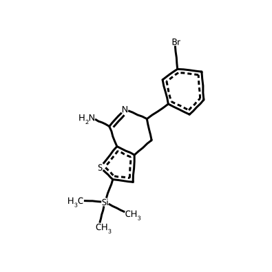 C[Si](C)(C)c1cc2c(s1)C(N)=NC(c1cccc(Br)c1)C2